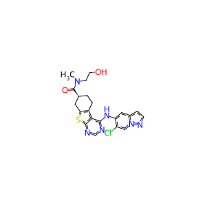 CN(CCO)C(=O)[C@H]1CCc2c(sc3ncnc(Nc4cc5ccnn5cc4Cl)c23)C1